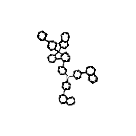 c1ccc(-c2ccc(C3(c4ccc5ccccc5c4)c4ccccc4-c4c(-c5cccc(N(c6ccc(-c7cccc8ccccc78)cc6)c6ccc(-c7cccc8ccccc78)cc6)c5)cccc43)cc2)cc1